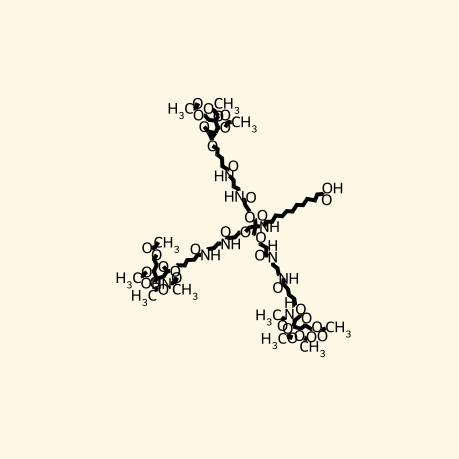 CC(=O)NC1C(OCCCCC(=O)NCCCNC(=O)CCOCC(COCCC(=O)NCCCNC(=O)CCCCOC2OC(COC(C)=O)C(OC(C)=O)C(OC(C)=O)C2NC(C)=O)(COCCC(=O)NCCCNC(=O)CCCCOC2C3OC(COC(C)=O)C(OC(C)=O)C(OC(C)=O)C23)NC(=O)CCCCCCCCCCC(=O)O)OC(COC(C)=O)C(OC(C)=O)C1OC(C)=O